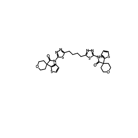 O=C(Nc1nnc(CCCCc2nnc(NC(=O)C3(c4cccs4)CCOCC3)s2)s1)C1(c2cccs2)CCOCC1